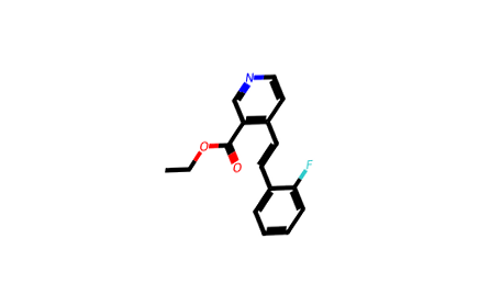 CCOC(=O)c1cnccc1C=Cc1ccccc1F